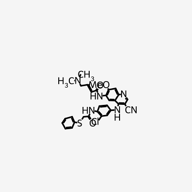 COc1cc2ncc(C#N)c(Nc3ccc(NC(=O)CSc4ccccc4)c(Cl)c3)c2cc1NC(=O)C=CCN(C)C